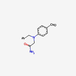 CC(C)CN(CC(N)=O)c1ccc(C=O)cc1